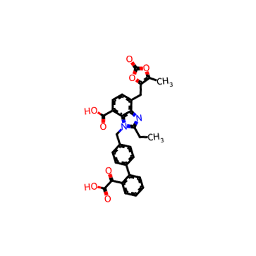 CCc1nc2c(Cc3oc(=O)oc3C)ccc(C(=O)O)c2n1Cc1ccc(-c2ccccc2C(=O)C(=O)O)cc1